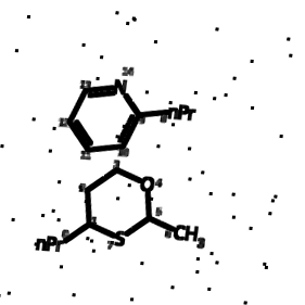 CCCC1CCOC(C)S1.CCCc1ccccn1